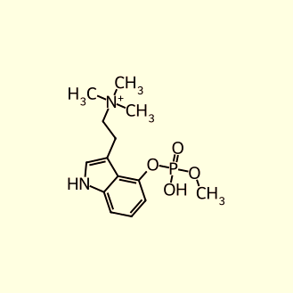 COP(=O)(O)Oc1cccc2[nH]cc(CC[N+](C)(C)C)c12